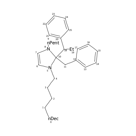 CCCCCCCCCCCCCCN1C=CN(CCCCC)C1(Cc1ccccc1)C(CC)c1ccccc1